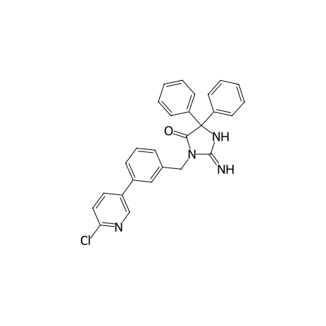 N=C1NC(c2ccccc2)(c2ccccc2)C(=O)N1Cc1cccc(-c2ccc(Cl)nc2)c1